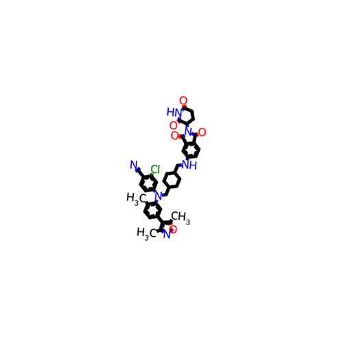 Cc1ccc(-c2c(C)noc2C)cc1N(CC1CCC(CNc2ccc3c(c2)C(=O)N(C2CCC(=O)NC2=O)C3=O)CC1)c1ccc(C#N)c(Cl)c1